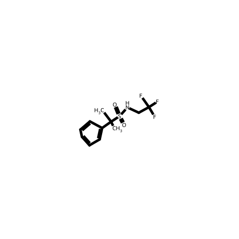 CC(C)(c1ccccc1)S(=O)(=O)NCC(F)(F)F